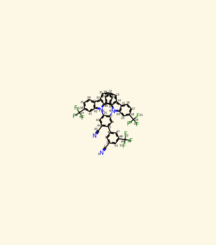 N#Cc1cc(-c2cc(-n3c4ccccc4c4ccc(C(F)(F)F)cc43)c(-n3c4ccccc4c4ccc(C(F)(F)F)cc43)cc2C#N)cc(C(F)(F)F)c1